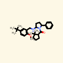 COc1ccc(C(C)(C)C)cc1CNC1CCC(c2ccccc2)N1C(=O)C1CCCC1(C)C